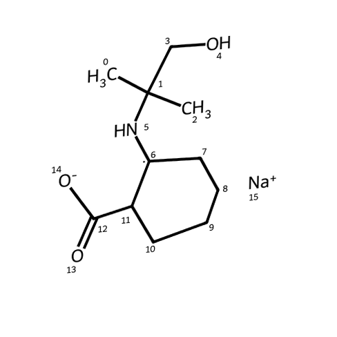 CC(C)(CO)N[C]1CCCCC1C(=O)[O-].[Na+]